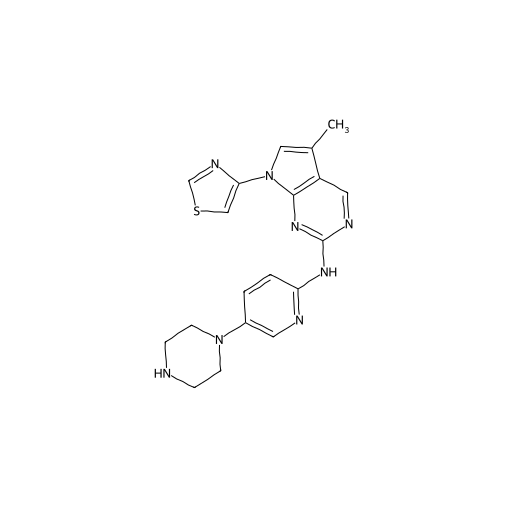 Cc1cn(-c2cscn2)c2nc(Nc3ccc(N4CCNCC4)cn3)ncc12